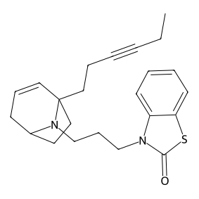 CCC#CCCC12C=CCC(CC1)N2CCCn1c(=O)sc2ccccc21